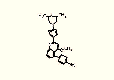 COc1cc(-c2ccc(N3CC(C)OC(C)C3)cc2)nc2cccc(-c3ccc(C#N)cc3)c12